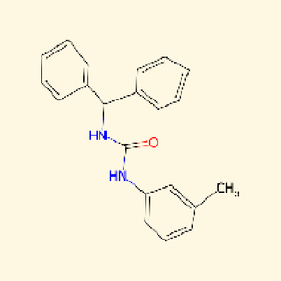 Cc1cccc(NC(=O)NC(c2ccccc2)c2ccccc2)c1